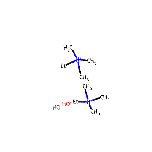 CC[N+](C)(C)C.CC[N+](C)(C)C.[OH-].[OH-]